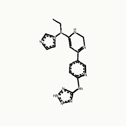 CCN(C1=CC(c2ccc(Nc3nn[nH]n3)nc2)=NCN1)n1ccnc1